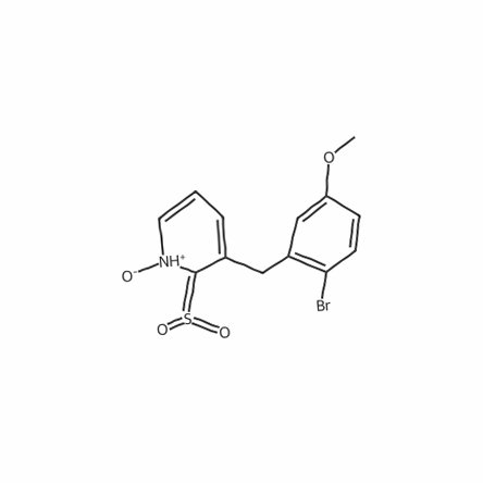 COc1ccc(Br)c(CC2=CC=C[NH+]([O-])C2=S(=O)=O)c1